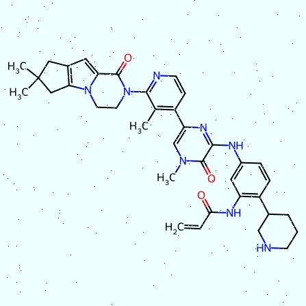 C=CC(=O)Nc1cc(Nc2nc(-c3ccnc(N4CCn5c(cc6c5CC(C)(C)C6)C4=O)c3C)cn(C)c2=O)ccc1C1CCCNC1